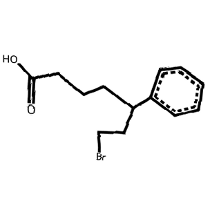 O=C(O)CCCC(CCBr)c1ccccc1